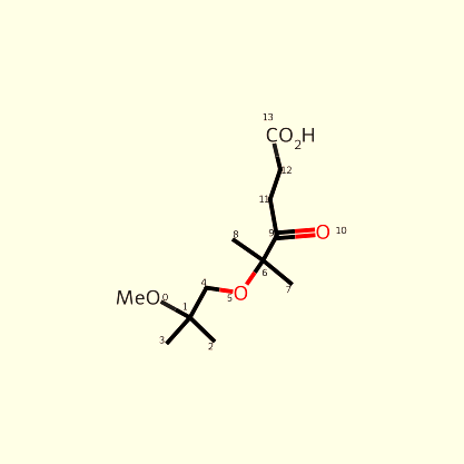 COC(C)(C)COC(C)(C)C(=O)CCC(=O)O